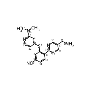 CN(C)c1cc(Sc2cc(C#N)ccc2-c2ncc(CN)cn2)cnn1